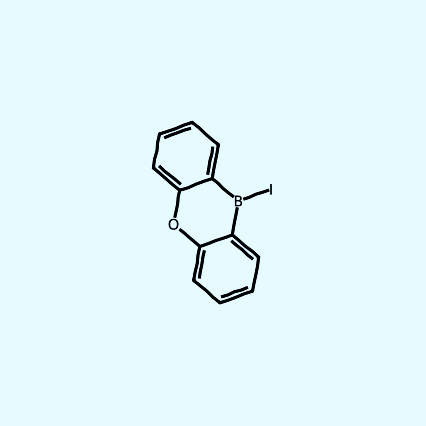 IB1c2ccccc2Oc2ccccc21